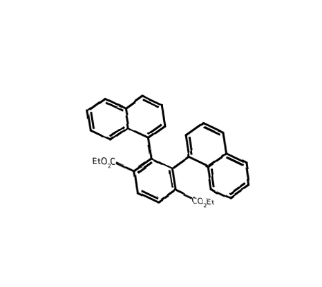 CCOC(=O)c1ccc(C(=O)OCC)c(-c2cccc3ccccc23)c1-c1cccc2ccccc12